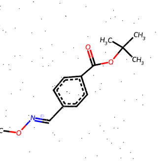 CO/N=C/c1ccc(C(=O)OC(C)(C)C)cc1